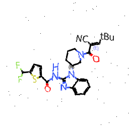 CC(C)(C)/C=C(\C#N)C(=O)N1CCC[C@@H](n2c(NC(=O)c3ccc(C(F)F)s3)nc3ccccc32)C1